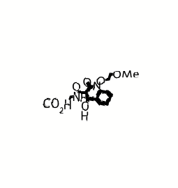 COCCOn1c(=O)c(C(=O)NCC(=O)O)c(O)c2ccccc21